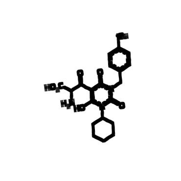 CC(C)(C)c1ccc(Cn2c(=O)c(C(=O)C(N)C(=O)O)c(O)n(C3CCCCC3)c2=O)cc1